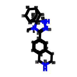 CN1C(c2ccc3c(c2)CCNC3)=NN[C@@]12CC1CCC2CC1